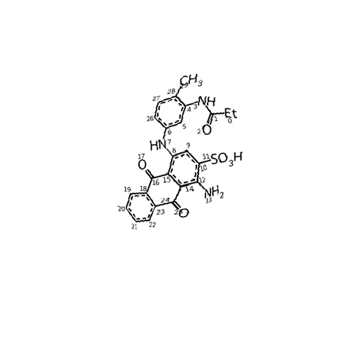 CCC(=O)Nc1cc(Nc2cc(S(=O)(=O)O)c(N)c3c2C(=O)c2ccccc2C3=O)ccc1C